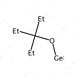 CCC(CC)(CC)[O][Ge]